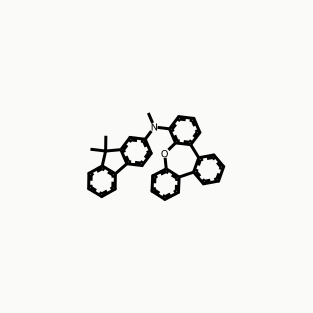 CN(c1ccc2c(c1)C(C)(C)c1ccccc1-2)c1cccc2c1Oc1ccccc1-c1ccccc1-2